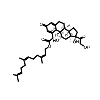 CC(C)=CCCC(C)=CCCC(C)=CCOC(=O)CC1=CC(=O)C=C2CC[C@@H]3[C@H]([C@@H](O)C[C@@]4(C)[C@H]3CC[C@]4(O)C(=O)CO)[C@]21C